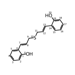 Oc1ccccc1C=CCSCC=Cc1ccccc1O